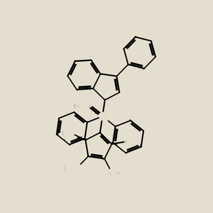 CC1=C(C)C(C)[C]([Zr](=[SiH2])([c]2ccccc2)([c]2ccccc2)[CH]2C=C(c3ccccc3)c3ccccc32)=C1C